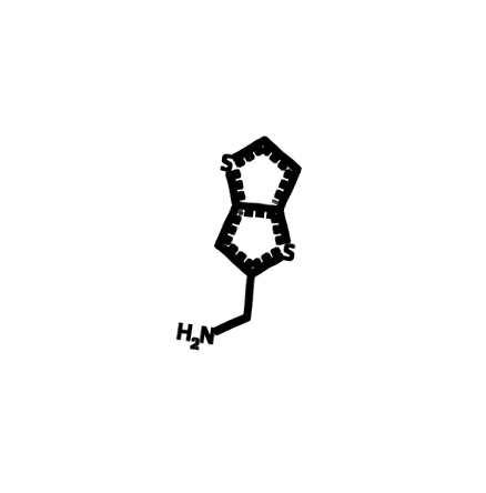 NCc1cc2sccc2s1